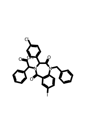 O=C(O)C(c1ccccc1)N1C(=O)c2cc(I)ccc2N(Cc2ccccc2)C(=O)C1c1ccc(Cl)cc1